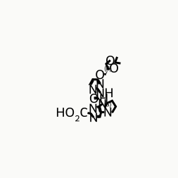 CC1(C)OC[C@@H](COc2ccnc(NC(=O)N3c4nc(C(=O)O)ncc4N4CCC[C@H]3C4)n2)O1